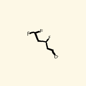 [O]CCC(F)CC(F)F